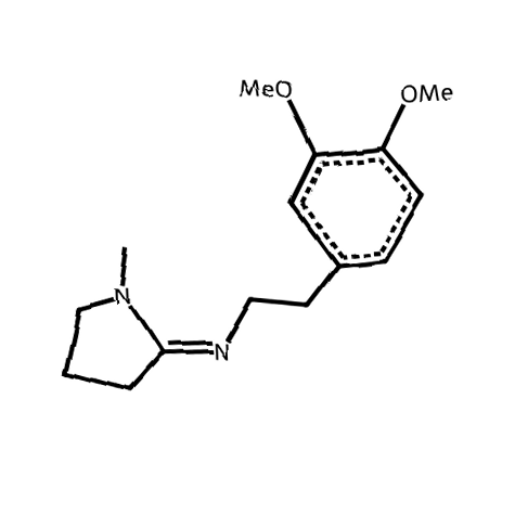 COc1ccc(CCN=C2CCCN2C)cc1OC